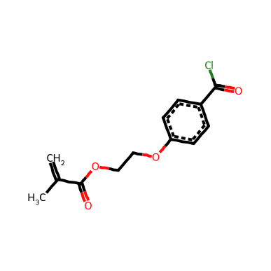 C=C(C)C(=O)OCCOc1ccc(C(=O)Cl)cc1